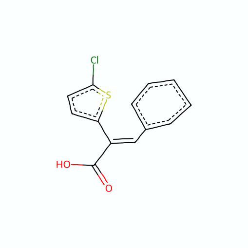 O=C(O)C(=Cc1ccccc1)c1ccc(Cl)s1